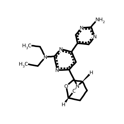 CCN(CC)c1nc(-c2cnc(N)nc2)cc(N2C[C@@H]3CC[C@H]2CO3)n1